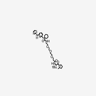 CC1CCCN1C(=O)C(NC(=O)CCOCCOCCOCCNC(=O)C1(Cc2cccc(Nc3nccs3)n2)CCCCC1)C(C)(C)C